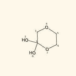 OC1(O)COCCO1